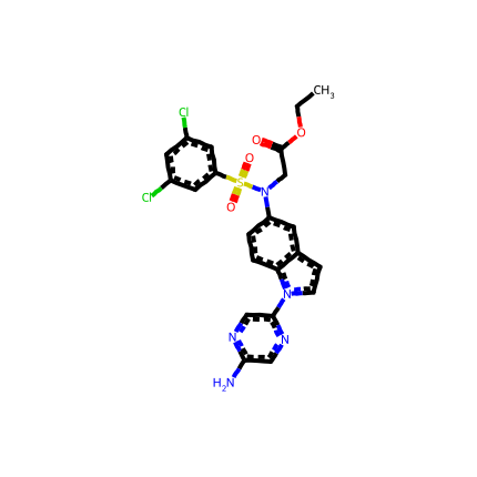 CCOC(=O)CN(c1ccc2c(ccn2-c2cnc(N)cn2)c1)S(=O)(=O)c1cc(Cl)cc(Cl)c1